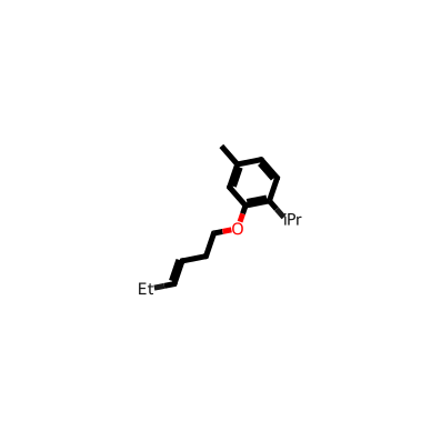 CCC=CCCOc1cc(C)ccc1C(C)C